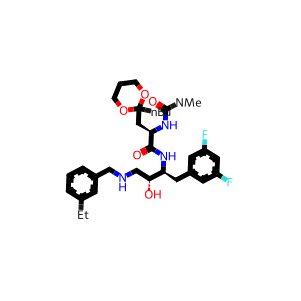 CCCCC1(C[C@@H](NC(=O)NC)C(=O)N[C@@H](Cc2cc(F)cc(F)c2)[C@H](O)CNCc2cccc(CC)c2)OCCCO1